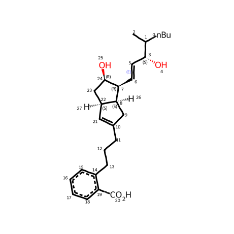 CCCCC(C)[C@H](O)/C=C/[C@H]1[C@H]2CC(CCCc3ccccc3C(=O)O)=C[C@H]2C[C@H]1O